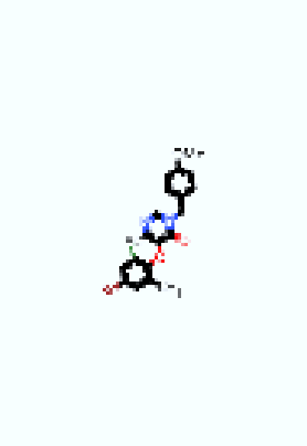 COc1ccc(Cn2cnc(C(C)=O)c(Oc3c(C)cc(Br)cc3Cl)c2=O)cc1